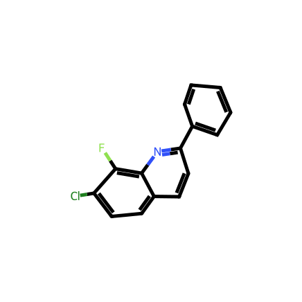 Fc1c(Cl)ccc2ccc(-c3ccccc3)nc12